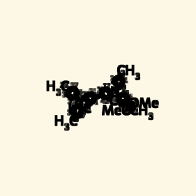 CO[Si](C)(OC)c1ccc(N(c2ccc(C)cc2)c2ccc(-c3ccc(N(c4ccc(C)cc4)c4ccc(C)cc4)c(C)c3)cc2C)cc1